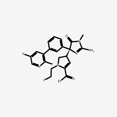 CCC(=O)C1=CC([C@]2(c3cccc(-c4cc(F)cnc4F)c3)N=C(N)N(C)C2=O)CN1CCF